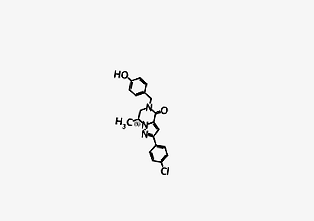 C[C@H]1CN(Cc2ccc(O)cc2)C(=O)c2cc(-c3ccc(Cl)cc3)nn21